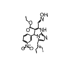 CCOC(=O)C1=C(C=NO)Nc2ncc(CN(CC)CC)n2C1c1cccc([N+](=O)[O-])c1